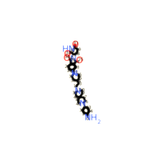 Nc1ccc(N2CCC3(CCN(CCC4CCN(c5ccc6c(c5)C(=O)N(C5CCC(=O)NC5=O)C6=O)CC4)CC3)CC2)cc1